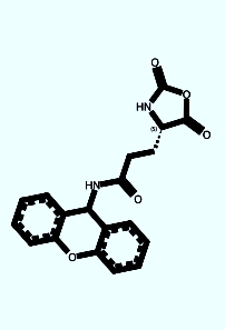 O=C(CC[C@@H]1NC(=O)OC1=O)NC1c2ccccc2Oc2ccccc21